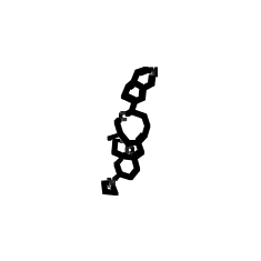 C[C@H]1CCC(c2ccc3ccncc3c2)CC/C=C2/C=C3CC[C@@H](N4CCC4)C[C@]34CC[C@@]21O4